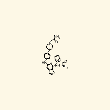 NC(=O)CN1CCN(c2ccc(Nc3nc(N[C@H]4C5C=CC(C5)[C@@H]4C(N)=O)c4sccc4n3)cc2)CC1